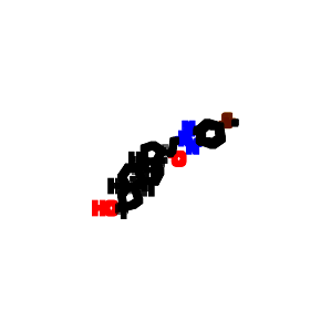 CSc1ccc2nn(CC(=O)[C@H]3CC[C@H]4[C@@H]5CC[C@@H]6C[C@](C)(O)CC[C@]6(C)[C@H]5CC[C@]34C)nc2c1